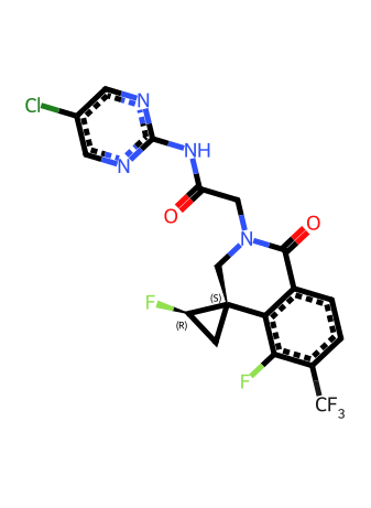 O=C(CN1C[C@]2(C[C@H]2F)c2c(ccc(C(F)(F)F)c2F)C1=O)Nc1ncc(Cl)cn1